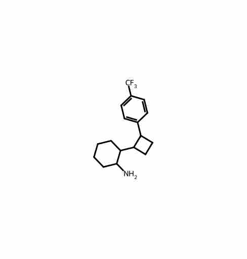 NC1CCCCC1C1CC[C]1c1ccc(C(F)(F)F)cc1